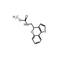 COC(=O)NCC1Oc2ccccc2-c2sccc21